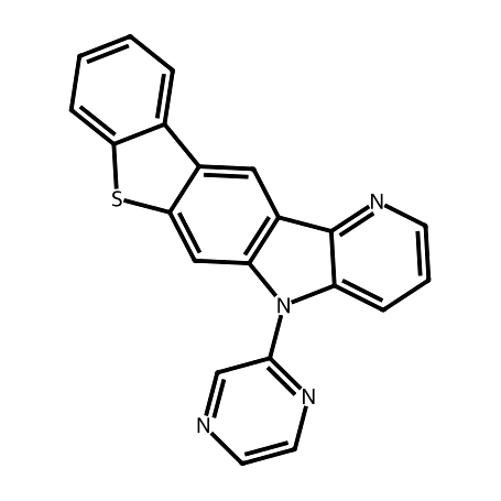 c1ccc2c(c1)sc1cc3c(cc12)c1ncccc1n3-c1cnccn1